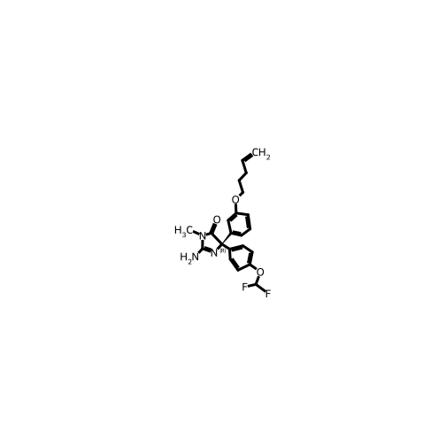 C=CCCCOc1cccc([C@@]2(c3ccc(OC(F)F)cc3)N=C(N)N(C)C2=O)c1